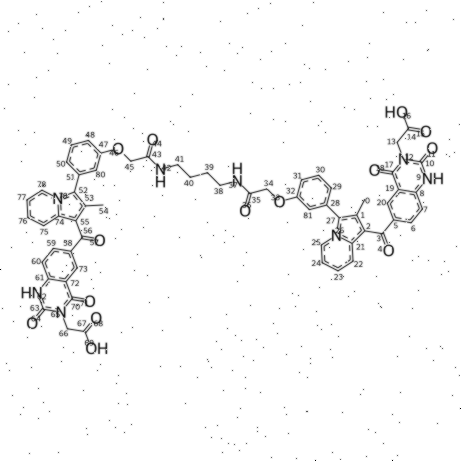 Cc1c(C(=O)c2ccc3[nH]c(=O)n(CC(=O)O)c(=O)c3c2)c2ccccn2c1-c1cccc(OCC(=O)NCCCCNC(=O)COc2cccc(-c3c(C)c(C(=O)c4ccc5[nH]c(=O)n(CC(=O)O)c(=O)c5c4)c4ccccn34)c2)c1